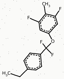 CCc1ccc(C(F)(F)Oc2cc(F)c(C)c(F)c2)cc1